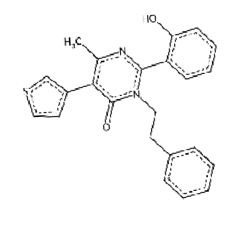 Cc1nc(-c2ccccc2O)n(CCc2ccccc2)c(=O)c1-c1ccsc1